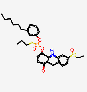 CCCCCCc1cccc(OP(=O)(Oc2ccc(=O)c3cc4ccc([S+]([O-])CC)cc4[nH]c2-3)SCCC)c1